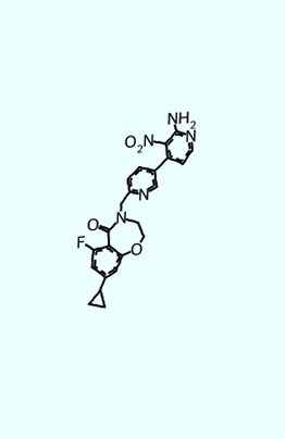 Nc1nccc(-c2ccc(CN3CCOc4cc(C5CC5)cc(F)c4C3=O)nc2)c1[N+](=O)[O-]